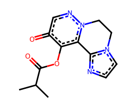 CC(C)C(=O)Oc1c2n(ncc1=O)CCn1ccnc1-2